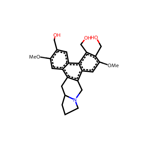 COc1cc2c3c(c4cc(OC)c(CO)c(CO)c4c2cc1CO)CN1CCCC1C3